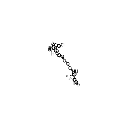 Cc1sc2c(c1C)C(c1ccc(Cl)cc1)=N[C@@H](CC(=O)Nc1ccc(OCCOCCOCCOCCNc3cc(C(F)(F)F)c(-c4ccc5c(c4)CC(=O)N5)cn3)cc1)c1nnc(C)n1-2